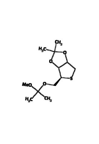 COC(C)(C)OC[C@@H]1SCC2OC(C)(C)OC21